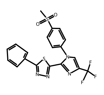 CS(=O)(=O)c1ccc(-n2cc(C(F)(F)F)nc2-c2nnc(-c3ccccc3)s2)cc1